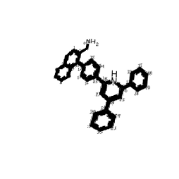 NCc1ccc2ccccc2c1-c1ccc(C2=CC(c3ccccc3)=CC(c3ccccc3)N2)cc1